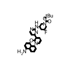 CC(C)(C)OC(=O)N1C[C@@H](F)C[C@H](Nc2nccc(-c3cccnc3Oc3ccc(N)c4ccccc34)n2)C1